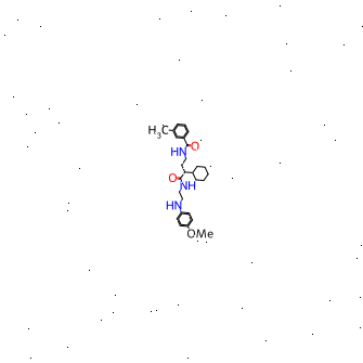 COc1ccc(NCCNC(=O)C(CCNC(=O)c2cccc(C)c2)C2CCCCC2)cc1